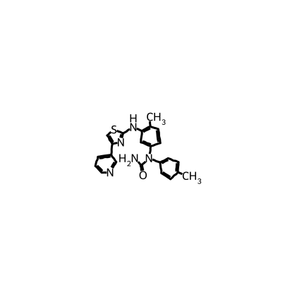 Cc1ccc(N(C(N)=O)c2ccc(C)c(Nc3nc(-c4cccnc4)cs3)c2)cc1